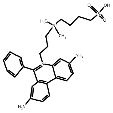 C[N+](C)(CCCCS(=O)(=O)O)CCC[n+]1c(-c2ccccc2)c2cc(N)ccc2c2ccc(N)cc21